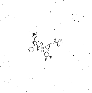 Cc1c(-c2cnn(C)c2)nn(-c2ccccc2)c1NC(=O)N[C@@H]1CN(CCNC(=O)C(F)(F)F)C[C@H]1c1ccc(F)c(F)c1